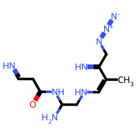 C/C(=C/NCC(N)NC(=O)CC=N)C(=N)CN=[N+]=[N-]